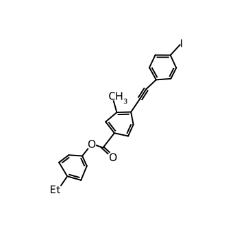 CCc1ccc(OC(=O)c2ccc(C#Cc3ccc(I)cc3)c(C)c2)cc1